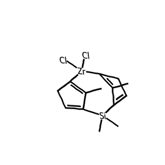 CC1=[C]2CC=C1[Si](C)(C)C1=CC[C](=C1C)[Zr]2([Cl])[Cl]